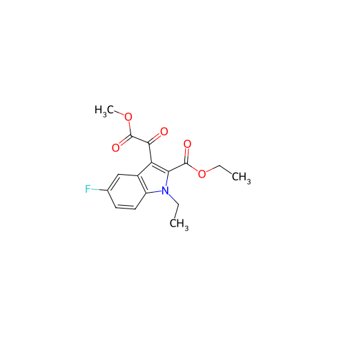 CCOC(=O)c1c(C(=O)C(=O)OC)c2cc(F)ccc2n1CC